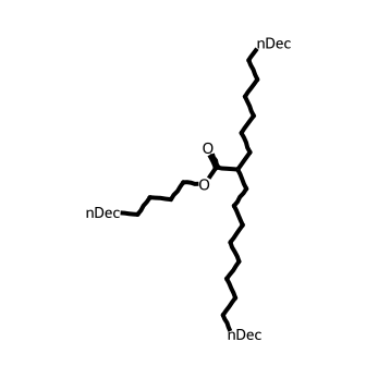 CCCCCCCCCCCCCCCCCCC(CCCCCCCCCCCCCCCC)C(=O)OCCCCCCCCCCCCCC